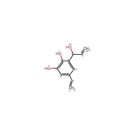 C=Cc1cc(O)c(O)c(C(O)C=C)c1